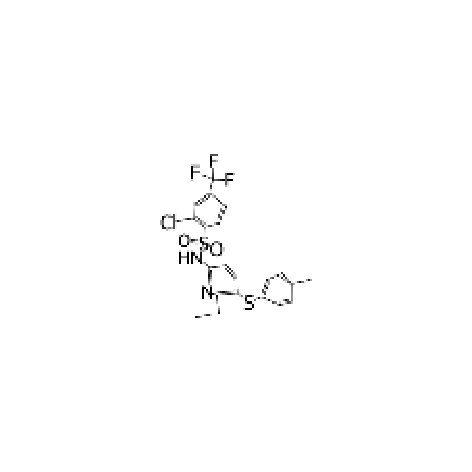 CCc1nc(NS(=O)(=O)c2ccc(C(F)(F)F)cc2Cl)ccc1Sc1ccc(C)cc1